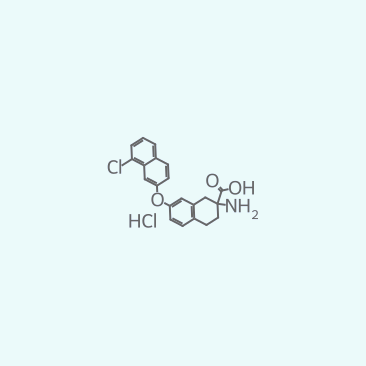 Cl.NC1(C(=O)O)CCc2ccc(Oc3ccc4cccc(Cl)c4c3)cc2C1